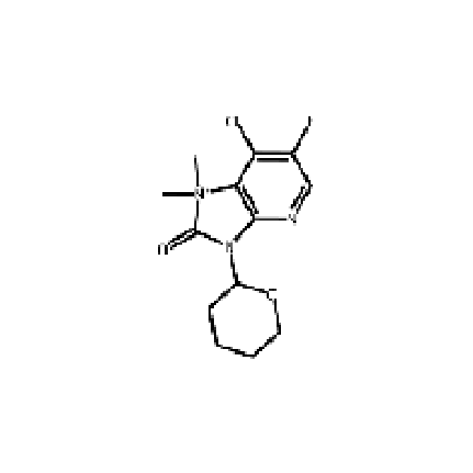 C[N+]1(C)C(=O)N(C2CCCCO2)c2ncc(F)c(Cl)c21